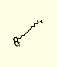 CCCCCCCCCCCCc1cccc2ccncc12